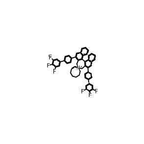 Fc1cc(-c2ccc(-c3cc4ccccc4c4c3C[N+]3(CCCCCCC3)Cc3c(-c5ccc(-c6cc(F)c(F)c(F)c6)cc5)cc5ccccc5c3-4)cc2)cc(F)c1F